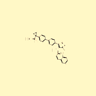 Cc1noc(-c2ccc(-c3ccc(C4(C(=O)O)CC4)cc3)cc2)c1Nc1ccc2ccccc2n1